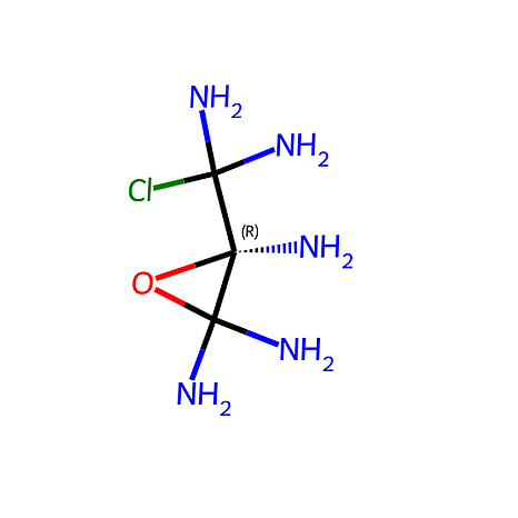 NC(N)(Cl)[C@]1(N)OC1(N)N